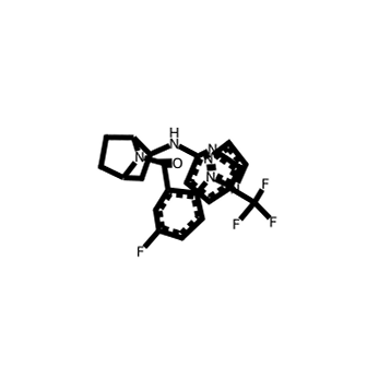 O=C(c1cc(F)ccc1-n1nccn1)N1C2CCC1C(Nc1ccc(C(F)(F)F)cn1)C2